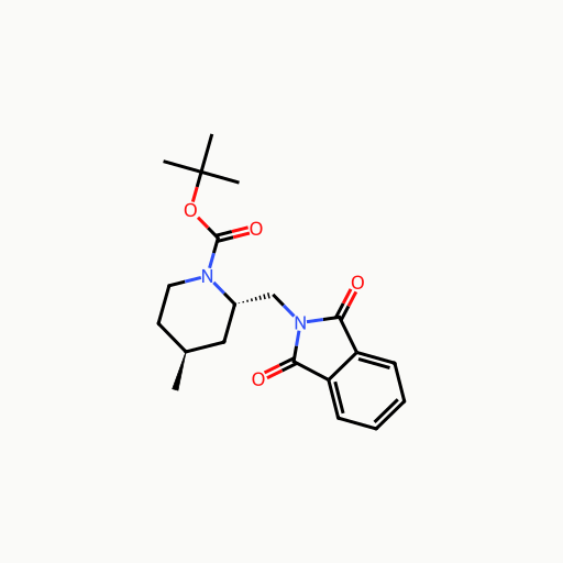 C[C@H]1CCN(C(=O)OC(C)(C)C)[C@H](CN2C(=O)c3ccccc3C2=O)C1